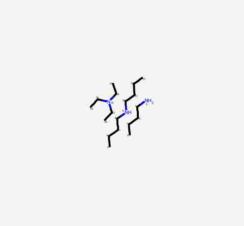 CCCCN.CCCCNCCCC.CCN(CC)CC